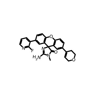 CN1C(=O)C2(N=C1N)c1cc(C3=CCOCC3)ccc1Oc1ccc(-c3cccnc3F)cc12